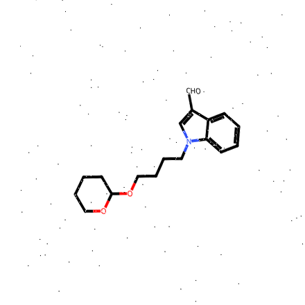 O=Cc1cn(CCCCOC2CCCCO2)c2ccccc12